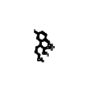 C=C\C=C/C(C(=C)C)=c1\cc(I)cc\c1=C\C